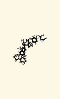 C/C=C\C(C)Oc1ccc(-n2ncc(C(=O)c3cc4cc(N5CCOCC5)c(N5CCCS5)cc4[nH]3)c2N)c(C)c1